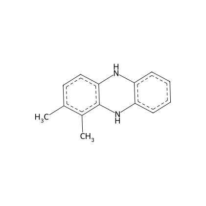 Cc1ccc2c(c1C)Nc1ccccc1N2